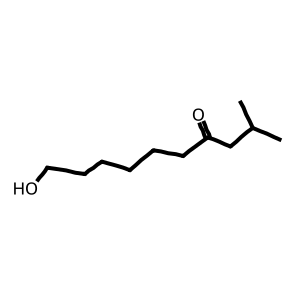 CC(C)CC(=O)CCCCCCO